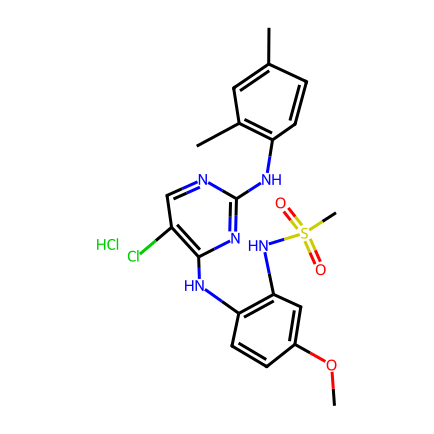 COc1ccc(Nc2nc(Nc3ccc(C)cc3C)ncc2Cl)c(NS(C)(=O)=O)c1.Cl